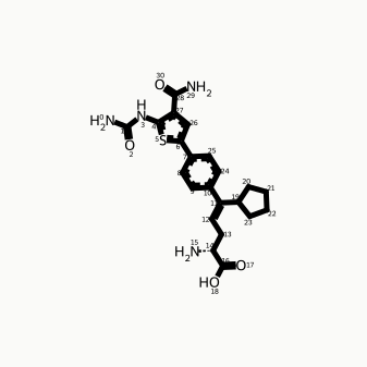 NC(=O)Nc1sc(-c2ccc(/C(=C/C[C@@H](N)C(=O)O)C3CCCC3)cc2)cc1C(N)=O